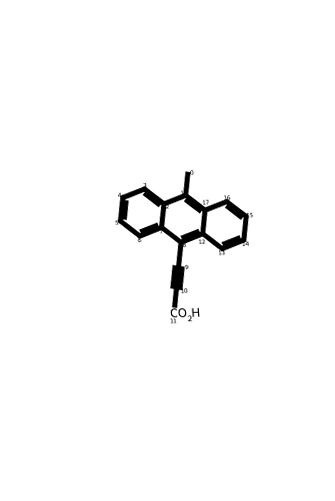 Cc1c2ccccc2c(C#CC(=O)O)c2ccccc12